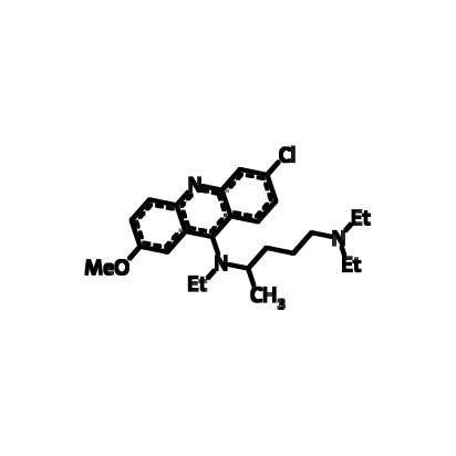 CCN(CC)CCCC(C)N(CC)c1c2ccc(Cl)cc2nc2ccc(OC)cc12